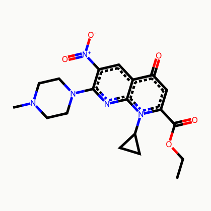 CCOC(=O)c1cc(=O)c2cc([N+](=O)[O-])c(N3CCN(C)CC3)nc2n1C1CC1